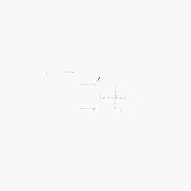 CCCCCCCCCCCC(=O)N([C@@H](CCC(=O)O)C(=O)O)C(CCCCCC)(CCCCCC)CCCCCCCCC